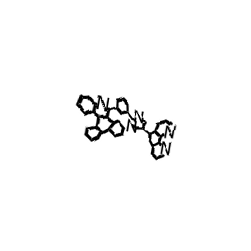 c1cc(-c2ncc(-c3cc4cccnc4c4ncccc34)cn2)cc(-c2nc3ccccc3c3c4ccccc4c4ccccc4c23)c1